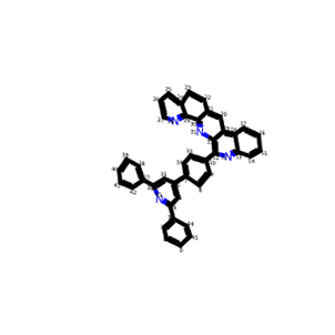 c1ccc(-c2cc(-c3ccc(-c4nc5ccccc5c5cc6ccc7cccnc7c6nc45)cc3)cc(-c3ccccc3)n2)cc1